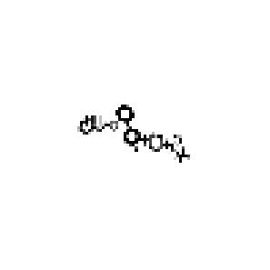 Cc1ccc(-c2ccccc2OCCC2CCCN2)cc1N1CCN(C(=O)OC(C)(C)C)CC1